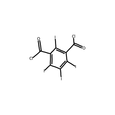 O=C(Cl)c1c(I)c(I)c(I)c(C(=O)Cl)c1I